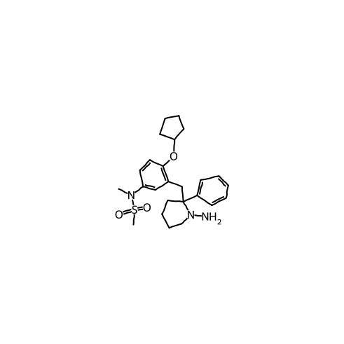 CN(c1ccc(OC2CCCC2)c(CC2(c3ccccc3)CCCCN2N)c1)S(C)(=O)=O